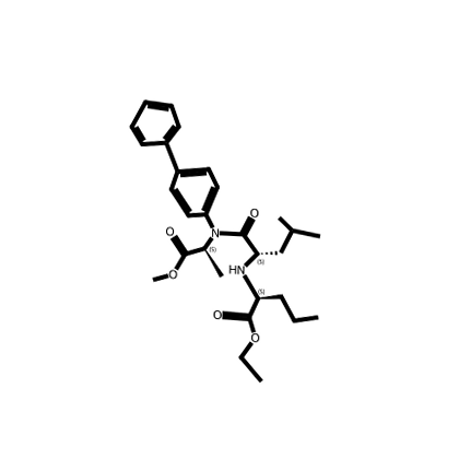 CCC[C@H](N[C@@H](CC(C)C)C(=O)N(c1ccc(-c2ccccc2)cc1)[C@@H](C)C(=O)OC)C(=O)OCC